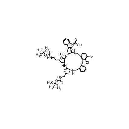 CN1C(=O)[C@H](CCCCNC(=O)OC(C)(C)C)NC(=O)[C@H](CCCNC(=O)OC(C)(C)C)NCc2ccccc2Sc2c(ccc(Br)c2Cl)CNC(=O)[C@@H]1Cc1cn(C(=O)O)c2ccccc12